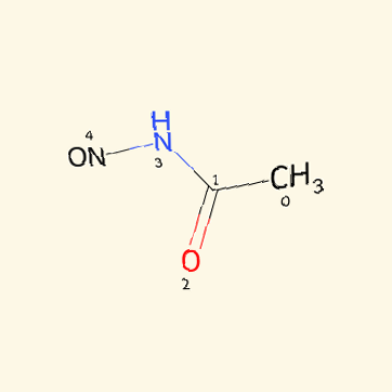 CC(=O)NN=O